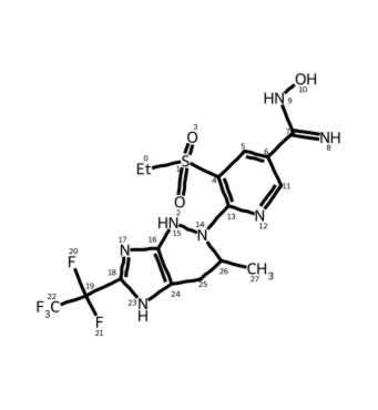 CCS(=O)(=O)c1cc(C(=N)NO)cnc1N1Nc2nc(C(F)(F)C(F)(F)F)[nH]c2CC1C